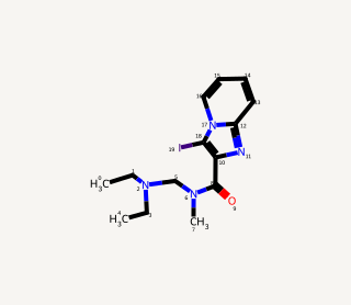 CCN(CC)CN(C)C(=O)c1nc2ccccn2c1I